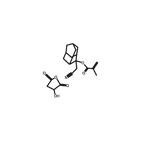 C=C(C)C(=O)OC1(CC#N)C2CC3CC(C2)CC1C3.O=C1CC(O)C(=O)O1